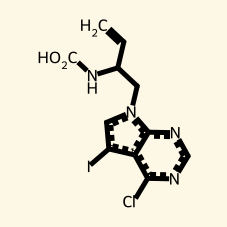 C=CC(Cn1cc(I)c2c(Cl)ncnc21)NC(=O)O